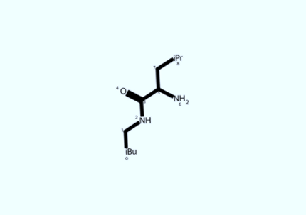 CCC(C)CNC(=O)C(N)CC(C)C